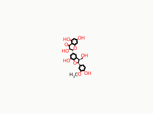 COc1cc([C@H]2Oc3c(O)cc([C@H]4Oc5cc(O)cc(O)c5C(=O)[C@@H]4O)cc3[C@H]2CO)ccc1O